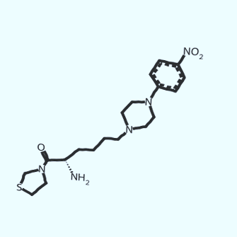 N[C@@H](CCCCN1CCN(c2ccc([N+](=O)[O-])cc2)CC1)C(=O)N1CCSC1